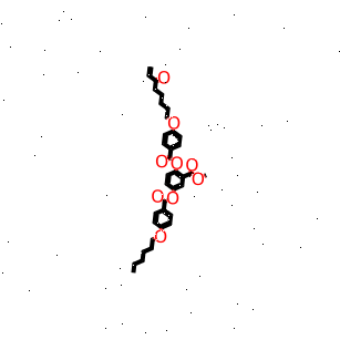 C=CC(=O)CCCCCOc1ccc(C(=O)Oc2ccc(OC(=O)c3ccc(OCCCCCC)cc3)cc2C(=O)OC)cc1